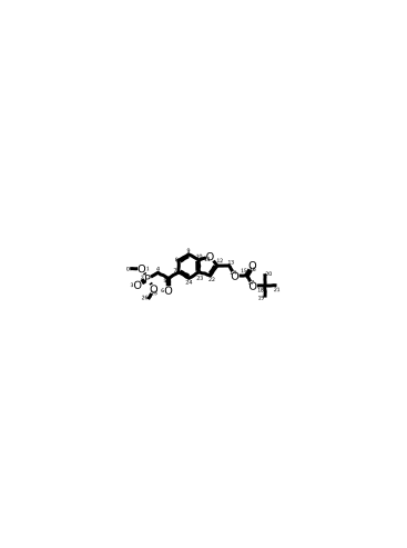 COP(=O)(CC(=O)c1ccc2oc(COC(=O)OC(C)(C)C)cc2c1)OC